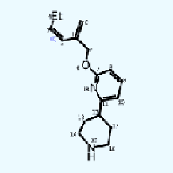 C=C(/C=C\CC)COc1cccc(C2CCNCC2)n1